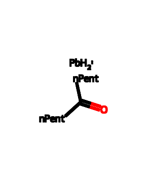 CCCCCC(=O)CCCCC.[PbH2]